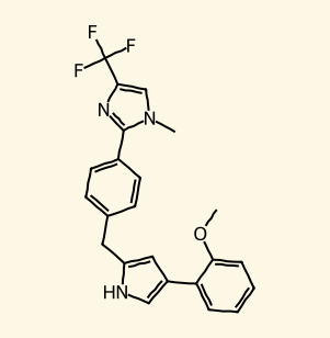 COc1ccccc1-c1c[nH]c(Cc2ccc(-c3nc(C(F)(F)F)cn3C)cc2)c1